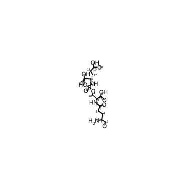 NC(C=O)CCC(=O)N[C@@H](COP(=O)(O)N[C@@H](CCC(=O)O)C(=O)O)C(=O)O